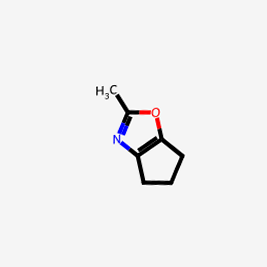 Cc1nc2c(o1)CCC2